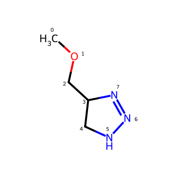 COCC1CNN=N1